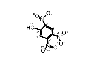 O=[N+]([O-])c1cc([N+](=O)[O-])c([N+](=O)[O-])cc1O